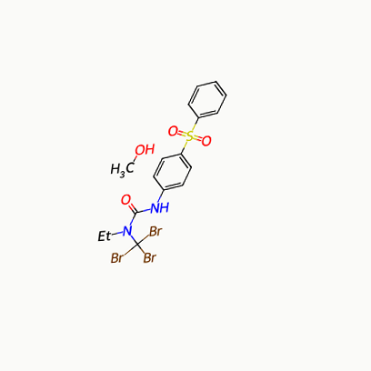 CCN(C(=O)Nc1ccc(S(=O)(=O)c2ccccc2)cc1)C(Br)(Br)Br.CO